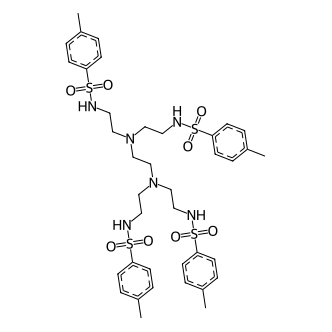 Cc1ccc(S(=O)(=O)NCCN(CCNS(=O)(=O)c2ccc(C)cc2)CCN(CCNS(=O)(=O)c2ccc(C)cc2)CCNS(=O)(=O)c2ccc(C)cc2)cc1